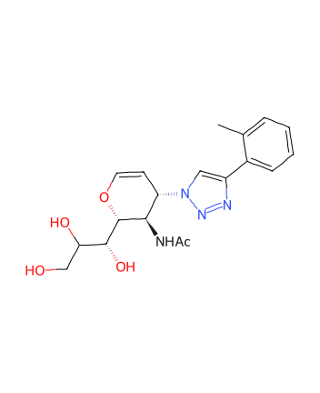 CC(=O)N[C@H]1[C@H]([C@H](O)C(O)CO)OC=C[C@@H]1n1cc(-c2ccccc2C)nn1